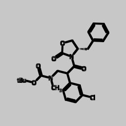 CN(CC(C(=O)N1C(=O)OC[C@@H]1Cc1ccccc1)c1cccc(Cl)c1)C(=O)OC(C)(C)C